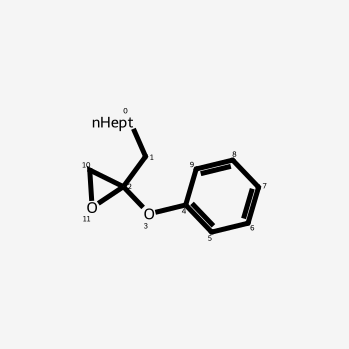 CCCCCCCCC1(Oc2ccccc2)CO1